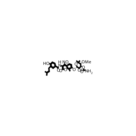 CO[C@@H]1[C@@H](OC(N)=O)[C@@H](O)[C@H](Oc2ccc3c(N=O)c(NC(=O)c4ccc(O)c(CC=C(C)C)c4)c(=O)oc3c2C)OC1(C)C